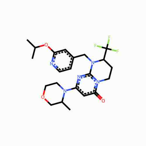 CC(C)Oc1cc(CN2c3nc(N4CCOCC4C)cc(=O)n3CCC2C(F)(F)F)ccn1